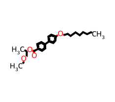 CCCCCCCCCOc1ccc(-c2ccc(C(=O)OC(C)COCC)cc2)cc1